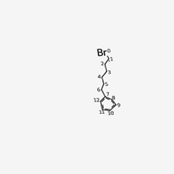 Br[CH]CCCCCc1ccccc1